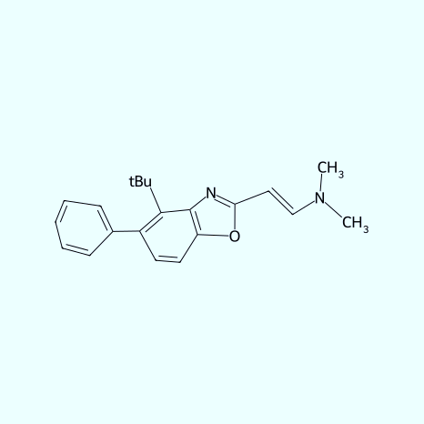 CN(C)C=Cc1nc2c(C(C)(C)C)c(-c3ccccc3)ccc2o1